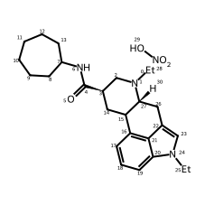 CCN1C[C@H](C(=O)NC2CCCCCC2)CC2c3cccc4c3c(cn4CC)C[C@H]21.O=[N+]([O-])O